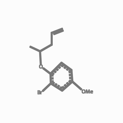 C=CCC(C)Oc1ccc(OC)cc1Br